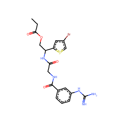 CCC(=O)OCC(NC(=O)CNC(=O)c1cccc(NC(=N)N)c1)c1cc(Br)cs1